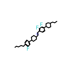 CCCCCc1ccc(C2CCC(/C=C/c3ccc(C4CCC(CCC)CC4)c(F)c3F)CC2)cc1F